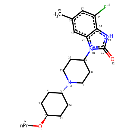 CCCO[C@H]1CC[C@H](N2CCC(n3c(=O)[nH]c4c(F)cc(C)cc43)CC2)CC1